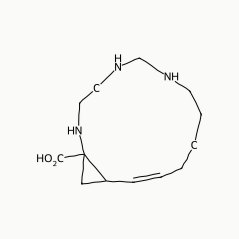 O=C(O)C12CC1C=CCCCCNCNCCN2